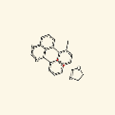 C1=NCCO1.Ic1ccccc1-c1cccc2ncnc(-c3ccccc3)c12